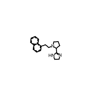 c1ccc2c(CCN3CCCC3C3=NCCN3)cccc2c1